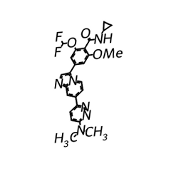 COc1cc(-c2cnc3cc(-c4ccc(N(C)C)nn4)ccn23)cc(OC(F)F)c1C(=O)NC1CC1